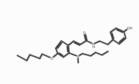 CCCCCOc1ccc(/C=C/C(=O)NCCc2ccc(O)cc2)c(N(C)CCCCC)c1